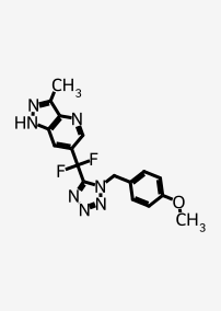 COc1ccc(Cn2nnnc2C(F)(F)c2cnc3c(C)n[nH]c3c2)cc1